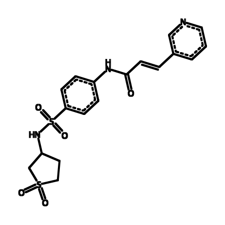 O=C(C=Cc1cccnc1)Nc1ccc(S(=O)(=O)NC2CCS(=O)(=O)C2)cc1